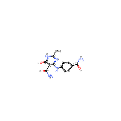 CSc1nc(Nc2ccc(C(N)=O)cc2)c(C(N)=O)c(=O)[nH]1